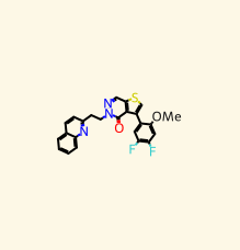 COc1cc(F)c(F)cc1-c1csc2cnn(CCc3ccc4ccccc4n3)c(=O)c12